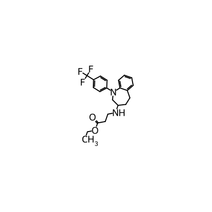 CCOC(=O)CCNC1CCc2ccccc2N(c2ccc(C(F)(F)F)cc2)C1